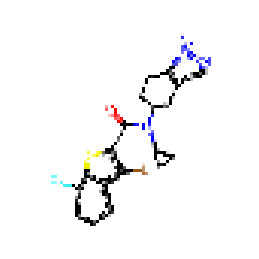 O=C(c1sc2c(F)cccc2c1Br)N(C1CC1)C1CCc2[nH]ncc2C1